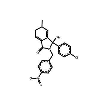 CC1C=C2C(=CC1)C(=O)N(Cc1ccc([N+](=O)[O-])cc1)C2(O)c1ccc(Cl)cc1